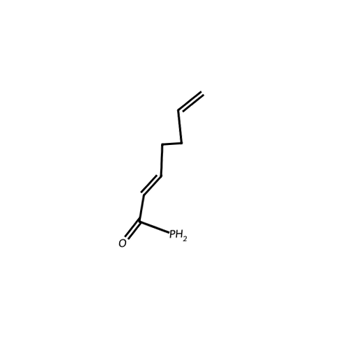 C=CCC/C=C/C(=O)P